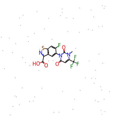 Cn1c(C(F)(F)F)cc(=O)n(-c2cc3c(C(=O)O)nsc3cc2F)c1=O